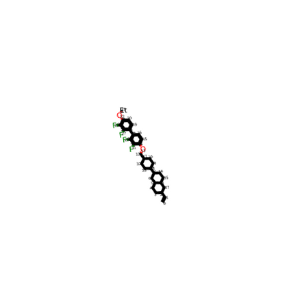 C=CC1CCC2CC(C3CCC(COc4ccc(-c5ccc(OCC)c(F)c5F)c(F)c4F)CC3)CCC2C1